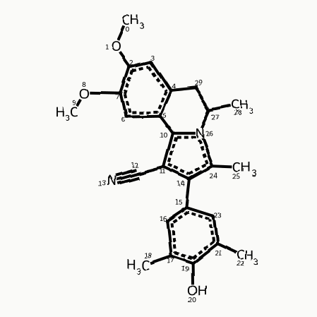 COc1cc2c(cc1OC)-c1c(C#N)c(-c3cc(C)c(O)c(C)c3)c(C)n1C(C)C2